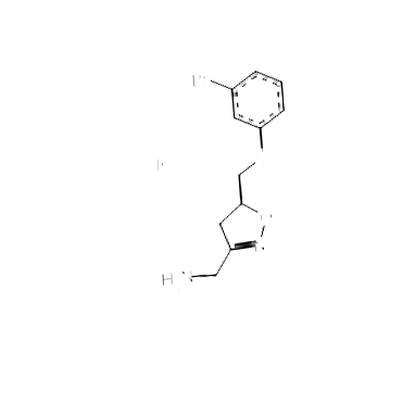 Cl.NCC1=NOC(COc2cccc(Br)c2)C1